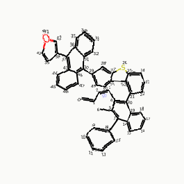 C=C/C=C\c1c(C)c(-c2ccccc2)c2ccccc2c1-c1cccc2sc3cc(-c4c5ccccc5c(-c5ccoc5)c5ccccc45)ccc3c12